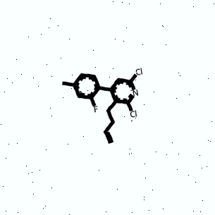 C=CCCc1c(-c2ccc(C)cc2F)cc(Cl)nc1Cl